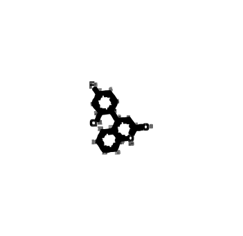 O=c1cc(-c2ccc(F)cc2Cl)c2ccccc2o1